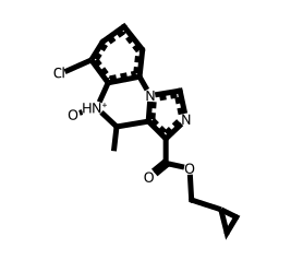 CC1c2c(C(=O)OCC3CC3)ncn2-c2cccc(Cl)c2[NH+]1[O-]